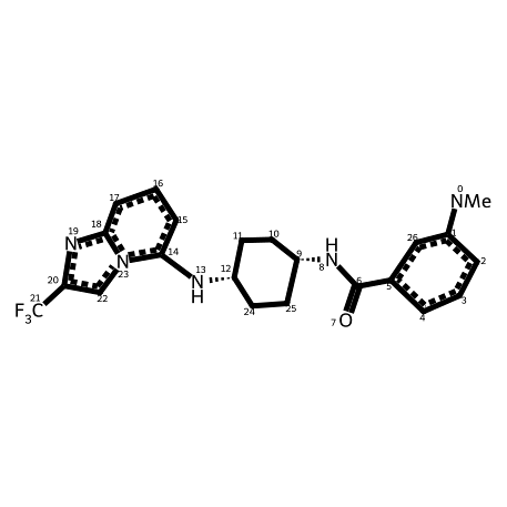 CNc1cccc(C(=O)N[C@H]2CC[C@@H](Nc3cccc4nc(C(F)(F)F)cn34)CC2)c1